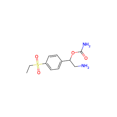 CCS(=O)(=O)c1ccc(C(CN)OC(N)=O)cc1